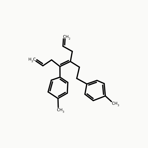 C=CCC(CCc1ccc(C)cc1)=C(CC=C)c1ccc(C)cc1